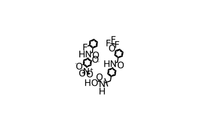 CC(C)(Cc1ccc(NC(=O)c2cccc(OC(F)(F)F)c2)cc1)NC(=O)O.COc1cc([N+](=O)[O-])c(OC)cc1NC(=O)c1ccccc1F